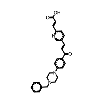 O=C(O)/C=C/c1ccc(/C=C/C(=O)c2ccc(N3CCN(Cc4ccccc4)CC3)cc2)cn1